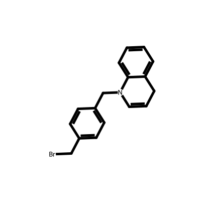 BrCc1ccc(CN2C=CCc3ccccc32)cc1